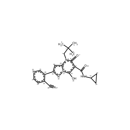 CC(C)(C)Cn1c(=O)c(C(=O)NC2CC2)c(O)n2nc(-c3cnccc3C#N)cc12